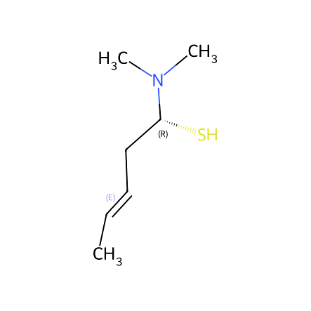 C/C=C/C[C@@H](S)N(C)C